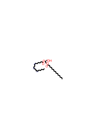 CCCCC/C=C\C/C=C\C/C=C\CCCCC(=O)O[C@@H](CO)COC(=O)CCCCCCCCCCCCCC